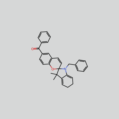 CC1(C)C2=CCCC=C2N(Cc2ccccc2)C12C=Cc1cc(C(=O)c3ccccc3)ccc1O2